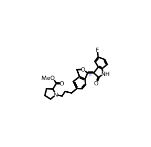 COC(=O)C1CCCN1CCCc1ccc2c(c1)CO/C2=C1/C(=O)Nc2ccc(F)cc21